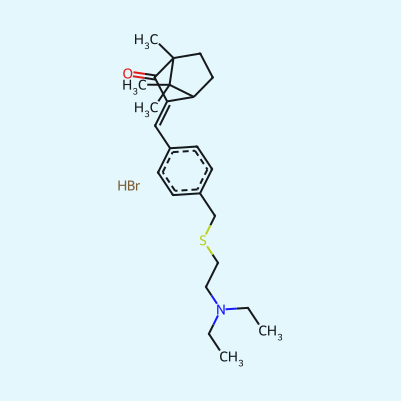 Br.CCN(CC)CCSCc1ccc(C=C2C(=O)C3(C)CCC2C3(C)C)cc1